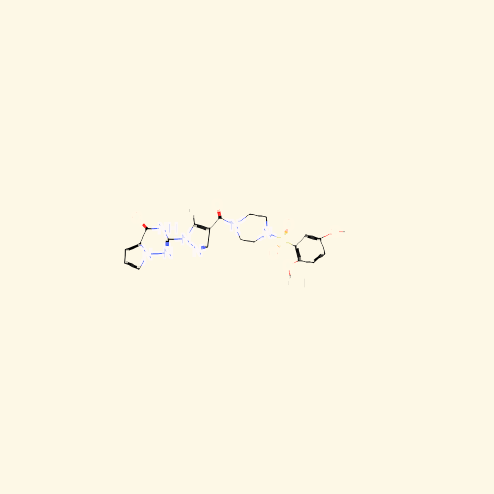 COc1ccc(OC)c(S(=O)(=O)N2CCN(C(=O)c3cnn(-c4nn5cccc5c(=O)[nH]4)c3C)CC2)c1